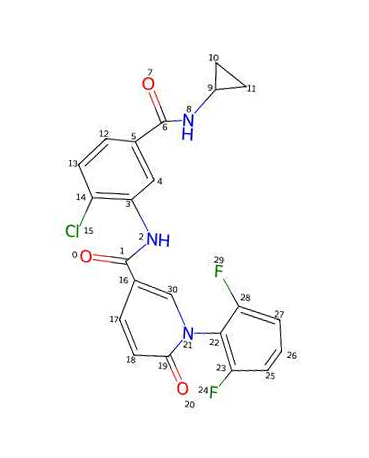 O=C(Nc1cc(C(=O)NC2CC2)ccc1Cl)c1ccc(=O)n(-c2c(F)cccc2F)c1